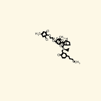 COCCCc1ccc(Cl)c(CN(C(=O)C2=C(c3ccc(OCCOc4c(Cl)cc(C)cc4Cl)cc3)C[C@@H]3CCC2N3C(=O)OC(C)(C)C)C2CC2)c1